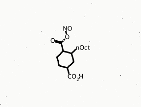 CCCCCCCCC1CC(C(=O)O)CCC1C(=O)ON=O